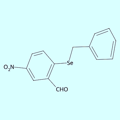 O=Cc1cc([N+](=O)[O-])ccc1[Se]Cc1ccccc1